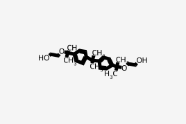 CC(C)(OCCO)c1ccc(C(C)(C)c2ccc(C(C)(C)OCCO)cc2)cc1